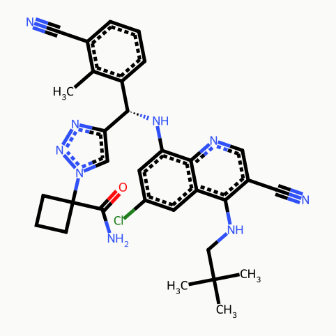 Cc1c(C#N)cccc1[C@H](Nc1cc(Cl)cc2c(NCC(C)(C)C)c(C#N)cnc12)c1cn(C2(C(N)=O)CCC2)nn1